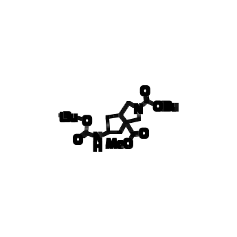 COC(=O)C12CC(NC(=O)OC(C)(C)C)CC1CN(C(=O)OCC(C)C)C2